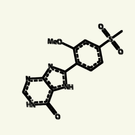 COc1cc(S(C)(=O)=O)ccc1-c1nc2nc[nH]c(=O)c2[nH]1